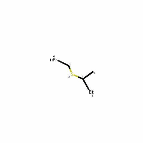 CCC[CH]SC(C)CC